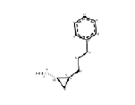 O=C(O)[C@H]1C[C@@H]1CCCc1ccccc1